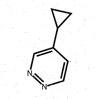 [c]1cnncc1C1CC1